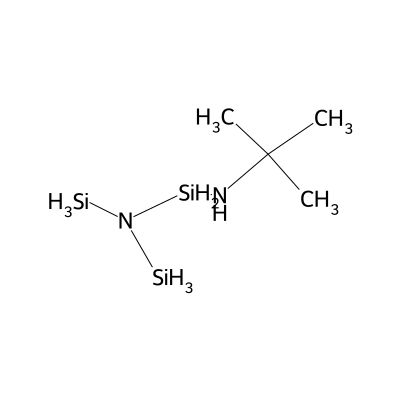 CC(C)(C)N[SiH2]N([SiH3])[SiH3]